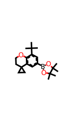 CC(C)(C)c1cc(B2OC(C)(C)C(C)(C)O2)cc2c1OCCC21CC1